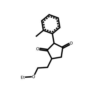 CCOCCC1CC(=O)C(c2ccccc2C)C1=O